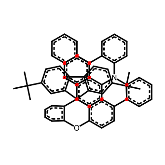 CC(C)(C)c1ccc2c(c1)C1(c3ccccc3Oc3ccc(-c4ccccc4N(c4ccccc4-c4cccc5ccccc45)c4cccc5ccccc45)cc31)c1cc(C(C)(C)C)ccc1-2